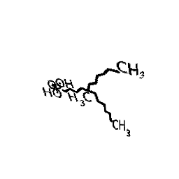 CCCCCCCC(C)(CCCCCCC)CCCCP(=O)(O)O